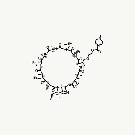 C/C=C/C[C@@H](C)[C@@H](O)[C@H]1C(=O)N[C@@H](CC)C(=O)N(C)[C@H](C)C(=O)N[C@@H]([C@H](C)COCCOC(=O)N2CCN(C)CC2)C(=O)N[C@@H](C(C)C)C(=O)N(C)[C@@H](CC(C)C)C(=O)N[C@@H](C)C(=O)N[C@H](C)C(=O)N(C)[C@@H](CC(C)C)C(=O)N(C)[C@@H](CC(C)C)C(=O)N(C)[C@@H](C(C)C)C(=O)N1C